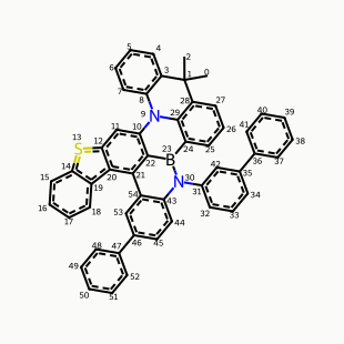 CC1(C)c2ccccc2N2c3cc4sc5ccccc5c4c4c3B(c3cccc1c32)N(c1cccc(-c2ccccc2)c1)c1ccc(-c2ccccc2)cc1-4